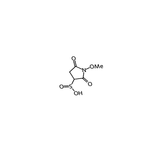 CON1C(=O)CC(S(=O)O)C1=O